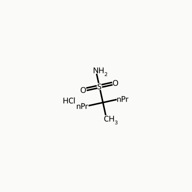 CCCC(C)(CCC)S(N)(=O)=O.Cl